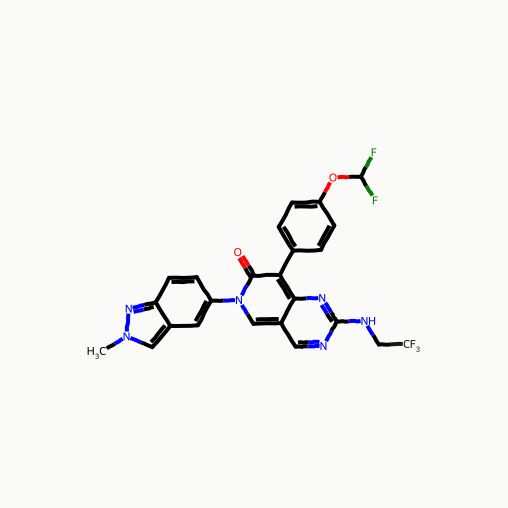 Cn1cc2cc(-n3cc4cnc(NCC(F)(F)F)nc4c(-c4ccc(OC(F)F)cc4)c3=O)ccc2n1